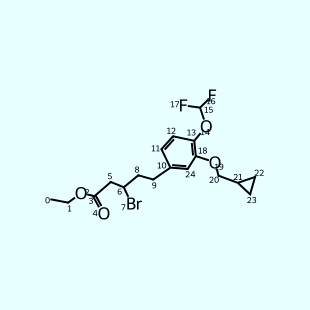 CCOC(=O)CC(Br)CCc1ccc(OC(F)F)c(OCC2CC2)c1